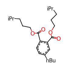 CCCCc1ccc(C(=O)OCCCC(C)C)c(C(=O)OCCCC(C)C)c1